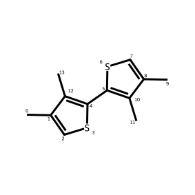 Cc1csc(-c2scc(C)c2C)c1C